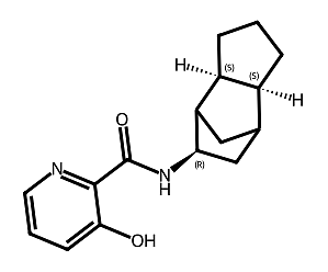 O=C(N[C@@H]1CC2CC1[C@H]1CCC[C@@H]21)c1ncccc1O